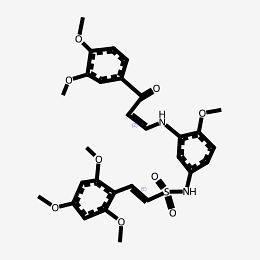 COc1cc(OC)c(/C=C/S(=O)(=O)Nc2ccc(OC)c(N/C=C\C(=O)c3ccc(OC)c(OC)c3)c2)c(OC)c1